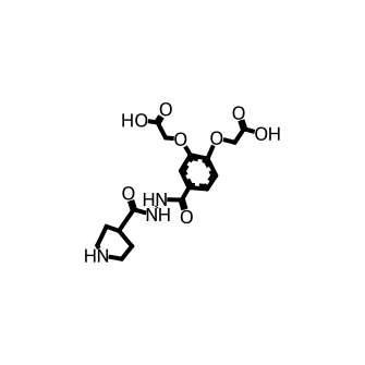 O=C(O)COc1ccc(C(=O)NNC(=O)C2CCNCC2)cc1OCC(=O)O